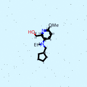 CCN(CC1CCCC1)c1ccc(OC)nc1CO